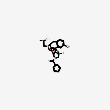 C[C@@H](O)CN1CCC23c4cc(O)ccc4CC1C21CCC2C3[C@@H](CN2C(=O)c2ccccc2)O1